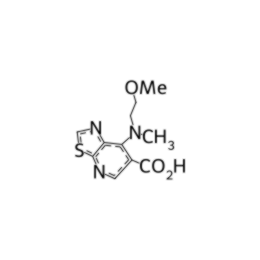 COCCN(C)c1c(C(=O)O)cnc2scnc12